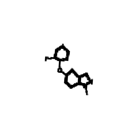 Cn1ncc2cc(Oc3cc[c]cc3F)ccc21